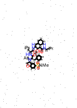 CNS(=O)(=O)c1ccc2c(c1)C(N(C(C)=O)[C@@H](Cc1ccccc1)C(=O)N[C@@H](CC(C)C)C(=O)NC(CC1CCCCC1)C(O)CC(=O)NCC(C)C)CO2